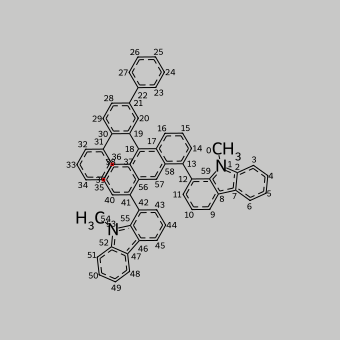 Cn1c2ccccc2c2cccc(-c3cccc4c(-c5cc(-c6ccccc6)ccc5-c5ccccc5)c5cccc(-c6cccc7c8ccccc8n(C)c67)c5cc34)c21